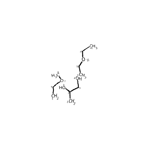 CC(O)CO.CCOC.CCOCC